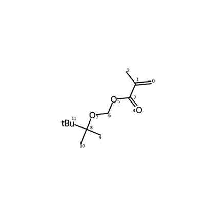 C=C(C)C(=O)OCOC(C)(C)C(C)(C)C